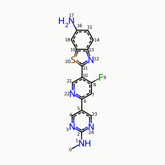 CNc1ncc(-c2cc(F)c(-c3nc4ccc(N)cc4s3)cn2)cn1